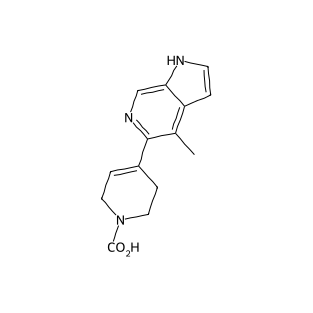 Cc1c(C2=CCN(C(=O)O)CC2)ncc2[nH]ccc12